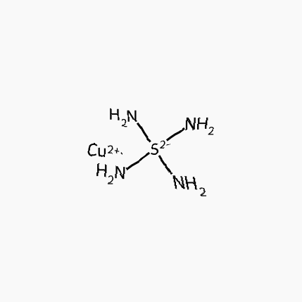 N[S-2](N)(N)N.[Cu+2]